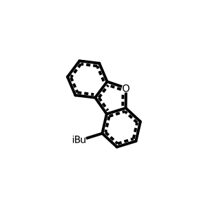 CCC(C)c1cccc2oc3ccccc3c12